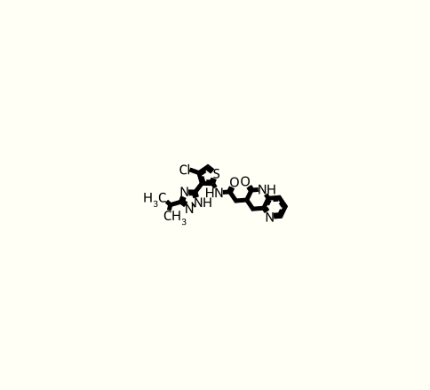 CC(C)c1n[nH]c(-c2c(Cl)csc2NC(=O)CC2Cc3ncccc3NC2=O)n1